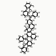 Cc1cccc2c1oc1c(N(c3ccccc3)c3ccc4c5c(ccc4c3)-c3c(cc(N(c4ccccc4)c4cccc6c4oc4c(C)cccc46)c4ccccc34)C5(C)C)cccc12